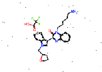 NCCCCCn1c(=O)c(-c2cn(CC3CCCO3)c3ccccc23)nc2ccccc21.O=C(O)C(F)(F)F